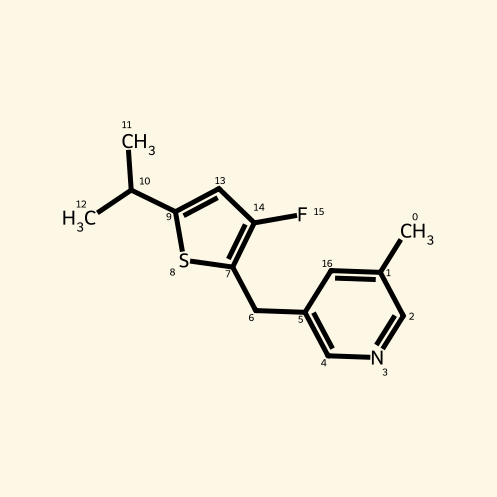 Cc1cncc(Cc2sc(C(C)C)cc2F)c1